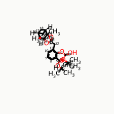 CC(C)(C)OC(=O)c1cccc(CB2O[C@@H]3C[C@@H]4C[C@@H](C4(C)C)[C@]3(C)O2)c1OC(O)OC(C)(C)C